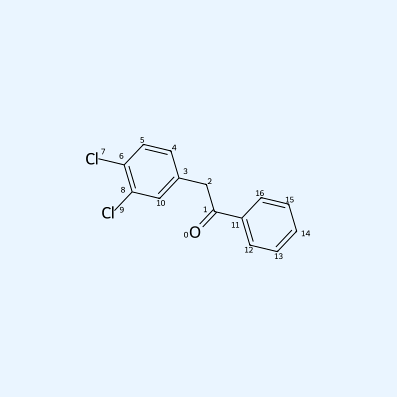 O=C(Cc1ccc(Cl)c(Cl)c1)c1ccccc1